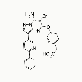 Nc1c(Br)c(Oc2ccc(CC(=O)O)cc2)nc2c(-c3ccc(-c4ccccc4)nc3)cnn12